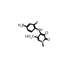 Bc1ccc(Nc2c(C(=O)O)cn(C)c(=O)c2Cl)c(F)c1